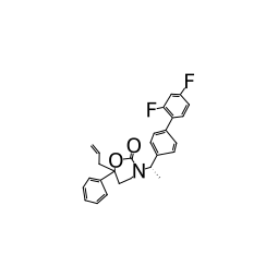 C=CCC1(c2ccccc2)CCN([C@@H](C)c2ccc(-c3ccc(F)cc3F)cc2)C(=O)O1